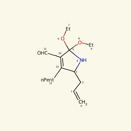 C=CCC1NC(OCC)(OCC)C(C=O)=C1CCCCC